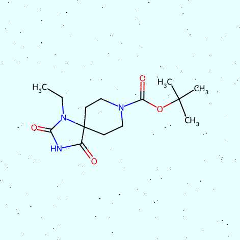 CCN1C(=O)NC(=O)C12CCN(C(=O)OC(C)(C)C)CC2